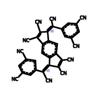 N#CC1=C(C#N)c2cc3c(cc2/C1=C(/C#N)c1cc(C#N)cc(C#N)c1)C(C#N)=C(C#N)/C3=C(\C#N)c1cc(C#N)cc(C#N)c1